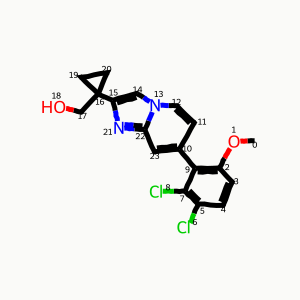 COc1ccc(Cl)c(Cl)c1-c1ccn2cc(C3(CO)CC3)nc2c1